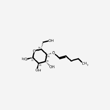 CCCC=CO[C@@H]1[C@H](O)[C@@H](O)[C@@H](O)O[C@@H]1CO